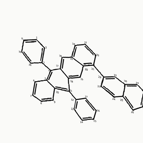 c1ccc(-c2c3ccccc3c(-c3ccccc3)c3cc4c(-c5ccc6ccccc6c5)cccc4cc23)cc1